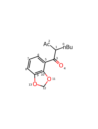 CCCCC(C(C)=O)C(=O)c1cccc2c1OCO2